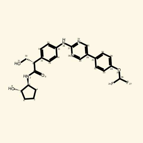 O=C(N[C@H]1CCC[C@@H]1O)[C@H](CO)c1ccc(Nc2ncc(-c3ccc(OC(F)F)cc3)cn2)cc1